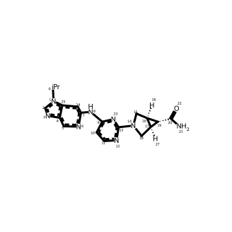 CC(C)n1cnc2cnc(Nc3ccnc(N4C[C@@H]5[C@H](C4)[C@H]5C(N)=O)n3)cc21